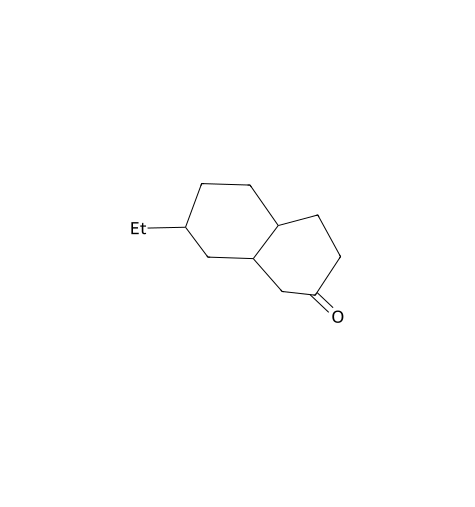 CCC1CCC2CCC(=O)CC2C1